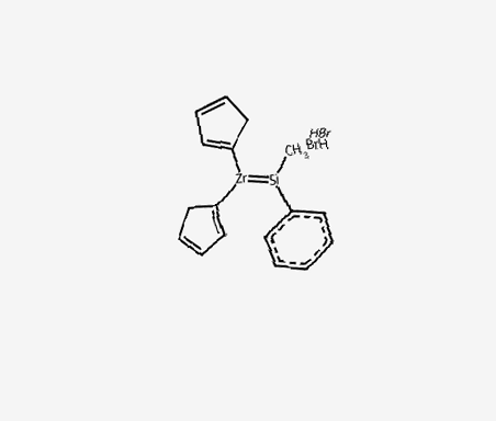 Br.Br.C[Si](c1ccccc1)=[Zr]([C]1=CC=CC1)[C]1=CC=CC1